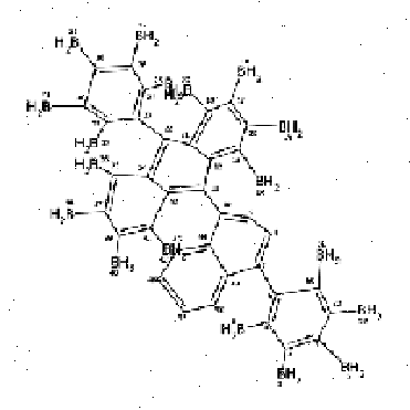 Bc1c(B)c(B)c(-c2ccc(-c3c4c(B)c(B)c(B)c(B)c4c(-c4c(B)c(B)c(B)c(B)c4B)c4c(B)c(B)c(B)c(B)c34)c3ccccc23)c(B)c1B